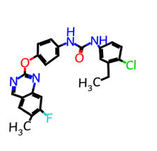 CCc1cc(NC(=O)Nc2ccc(Oc3ncc4cc(C)c(F)cc4n3)cc2)ccc1Cl